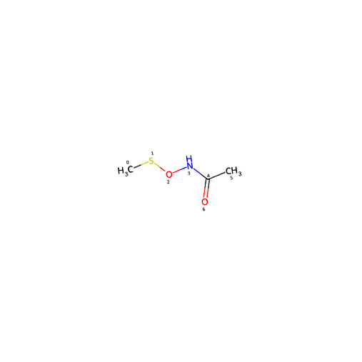 CSONC(C)=O